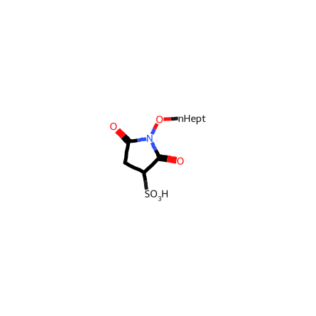 CCCCCCCON1C(=O)CC(S(=O)(=O)O)C1=O